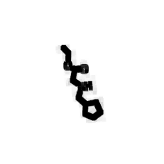 CCOC(=O)CNCC1CCCC1